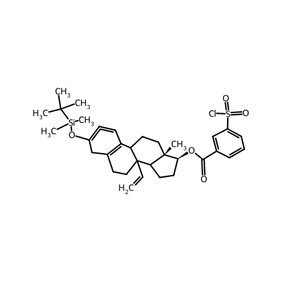 C=CC12CCC3=C(C=C=C(O[Si](C)(C)C(C)(C)C)C3)C1CC[C@@]1(C)C2CC[C@@H]1OC(=O)c1cccc(S(=O)(=O)Cl)c1